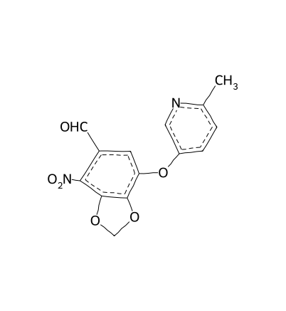 Cc1ccc(Oc2cc(C=O)c([N+](=O)[O-])c3c2OCO3)cn1